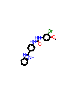 COc1ccc(NC(=O)Nc2ccc(-c3nc4ccccc4[nH]3)cc2)cc1Br